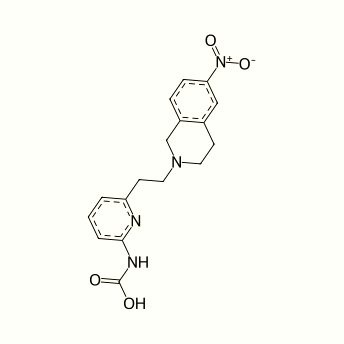 O=C(O)Nc1cccc(CCN2CCc3cc([N+](=O)[O-])ccc3C2)n1